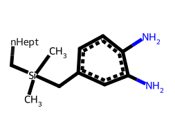 CCCCCCCC[Si](C)(C)Cc1ccc(N)c(N)c1